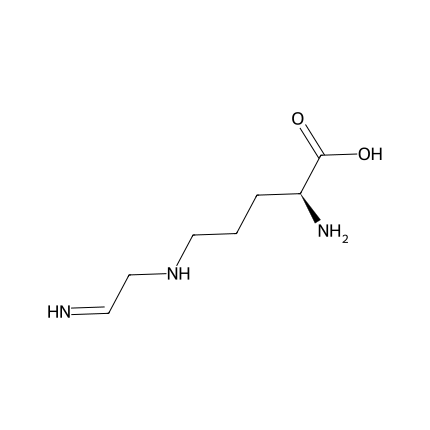 N=CCNCCC[C@H](N)C(=O)O